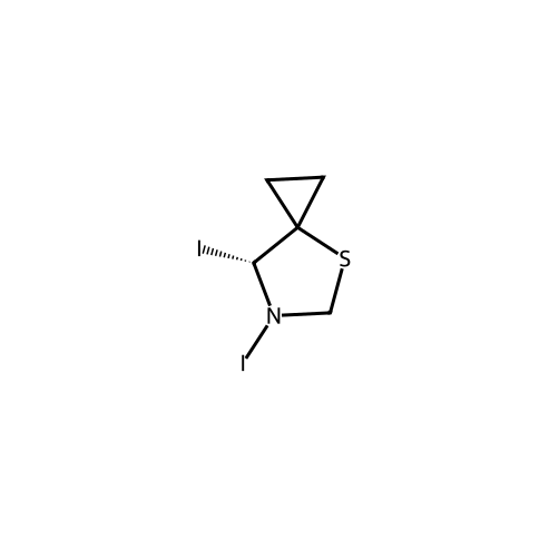 I[C@H]1N(I)CSC12CC2